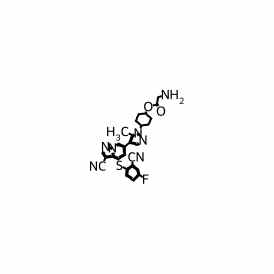 Cc1c(-c2cc(Sc3ccc(F)cc3C#N)c3c(C#N)cnn3c2)cnn1C1CCC(OC(=O)CN)CC1